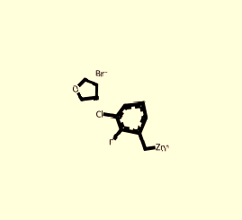 C1CCOC1.Fc1c(Cl)cccc1[CH2][Zn+].[Br-]